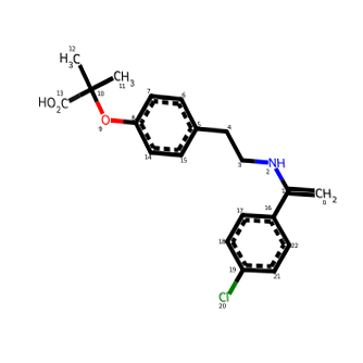 C=C(NCCc1ccc(OC(C)(C)C(=O)O)cc1)c1ccc(Cl)cc1